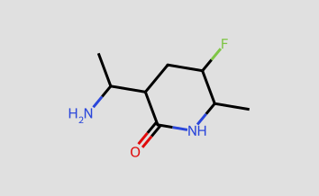 CC(N)C1CC(F)C(C)NC1=O